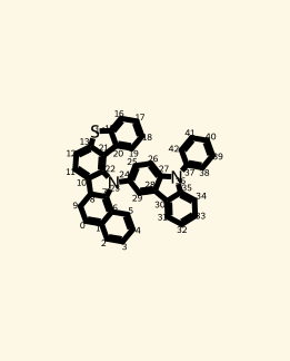 C1=c2ccccc2=C2C(C1)c1ccc3sc4ccccc4c3c1N2c1ccc2c(c1)c1ccccc1n2-c1ccccc1